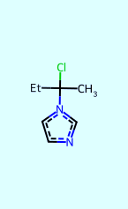 CCC(C)(Cl)n1ccnc1